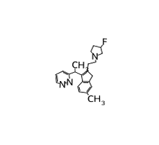 Cc1ccc2c(c1)CC(CCN1CCC(F)C1)=C2C(C)c1cccnn1